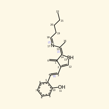 C=C1C(/C=C/c2ccccc2O)=CB/C1=C(C)/N=C\CCCC